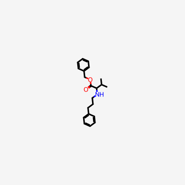 CC(C)C(NCCCc1ccccc1)C(=O)OCc1ccccc1